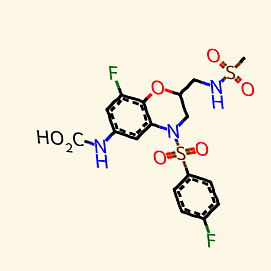 CS(=O)(=O)NCC1CN(S(=O)(=O)c2ccc(F)cc2)c2cc(NC(=O)O)cc(F)c2O1